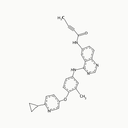 CC#CC(=O)Nc1ccc2ncnc(Nc3ccc(Oc4ccc(C5CC5)nc4)c(C)c3)c2c1